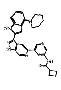 O=C(Nc1cncc(-c2cc3c(-c4cc5c(N6CCCCC6)cccc5[nH]4)n[nH]c3cn2)c1)C1CCC1